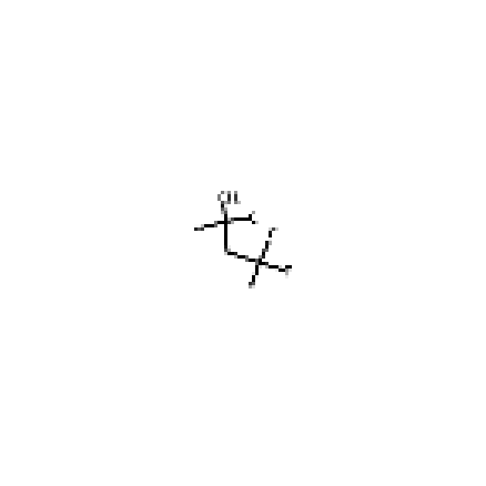 CC(F)(Cl)CC(F)(F)Cl